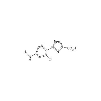 O=C(O)c1cnn(-c2ncc(NI)cc2Cl)n1